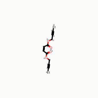 CCC#CCOC(=O)/C=C\C(=O)OCC#CCC